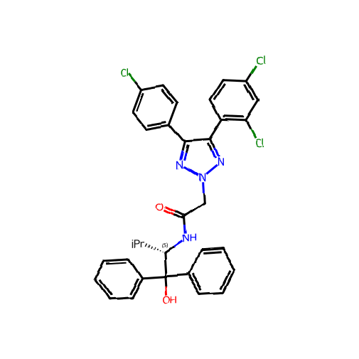 CC(C)[C@H](NC(=O)Cn1nc(-c2ccc(Cl)cc2)c(-c2ccc(Cl)cc2Cl)n1)C(O)(c1ccccc1)c1ccccc1